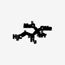 C=C[SiH2]C(CCC)(OC)OC